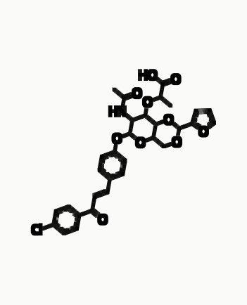 CC(=O)NC1C(Oc2ccc(/C=C/C(=O)c3ccc(Cl)cc3)cc2)OC2COC(c3ccco3)OC2C1OC(C)C(=O)O